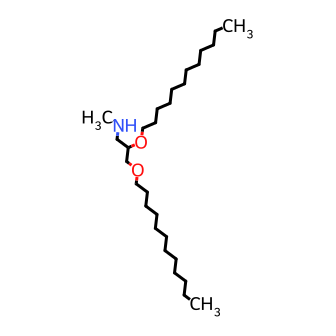 CCCCCCCCCCCCOCC(CNC)OCCCCCCCCCCCC